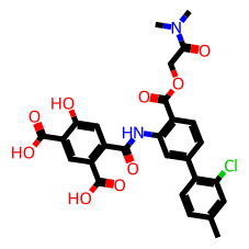 Cc1ccc(-c2ccc(C(=O)OCC(=O)N(C)C)c(NC(=O)c3cc(O)c(C(=O)O)cc3C(=O)O)c2)c(Cl)c1